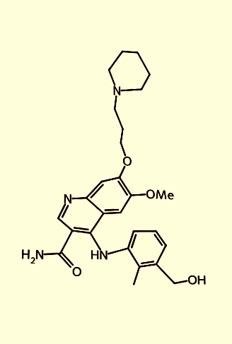 COc1cc2c(Nc3cccc(CO)c3C)c(C(N)=O)cnc2cc1OCCCN1CCCCC1